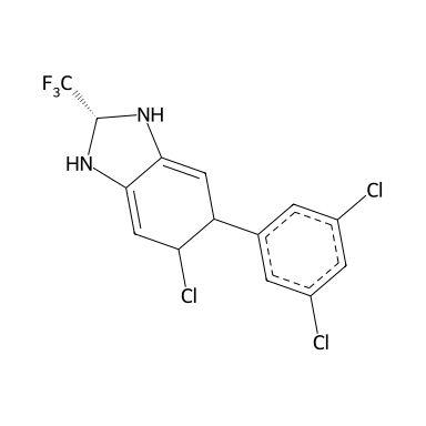 FC(F)(F)[C@H]1NC2=CC(Cl)C(c3cc(Cl)cc(Cl)c3)C=C2N1